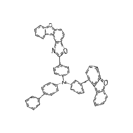 c1ccc(-c2ccc(N(c3ccc(-c4nc5c(ccc6oc7ccccc7c65)o4)cc3)c3cccc(-c4cccc5oc6ccccc6c45)c3)cc2)cc1